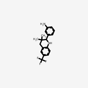 CC1(C)Cc2cc(C(F)(F)F)ccc2NC1c1cccc(N)c1